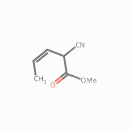 C/C=C\C(C#N)C(=O)OC